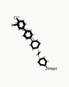 CCCCCCC[C@H]1CC[C@H](CC[C@H]2CC[C@H](c3ccc(-c4ccc(Cl)c(F)c4)cc3)CC2)CC1